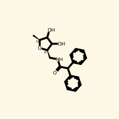 C[C@@H]1O[C@H](CNC(=O)C(c2ccccc2)c2ccccc2)C(O)C1O